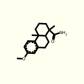 COc1ccc2c(c1)CCC1C(C)(C(N)=O)CCCC21C